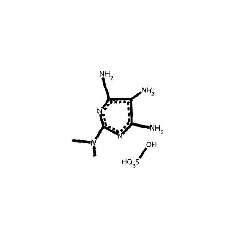 CN(C)c1nc(N)c(N)c(N)n1.O=S(=O)(O)O